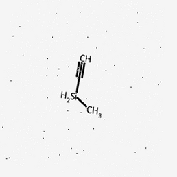 C#C[SiH2]C